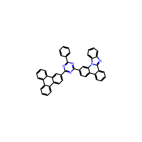 c1ccc(-c2nc(-c3ccc4c5ccccc5c5ccccc5c4c3)nc(-c3ccc4c5ccccc5c5nc6ccccc6n5c4c3)n2)cc1